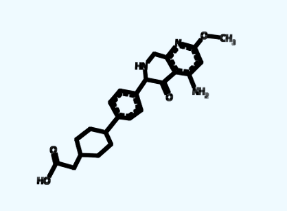 COc1cc(N)c2c(n1)CNC(c1ccc(C3CCC(CC(=O)O)CC3)cc1)C2=O